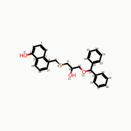 Oc1cccc2c(CSCC(O)COC(c3ccccc3)c3ccccc3)cccc12